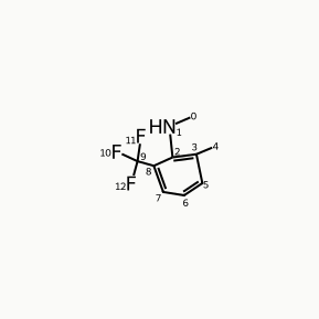 CNc1c(C)cccc1C(F)(F)F